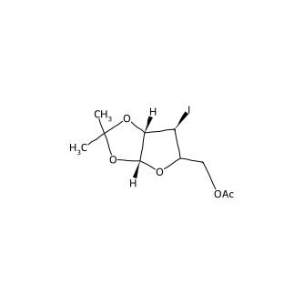 CC(=O)OCC1O[C@@H]2OC(C)(C)O[C@@H]2[C@H]1I